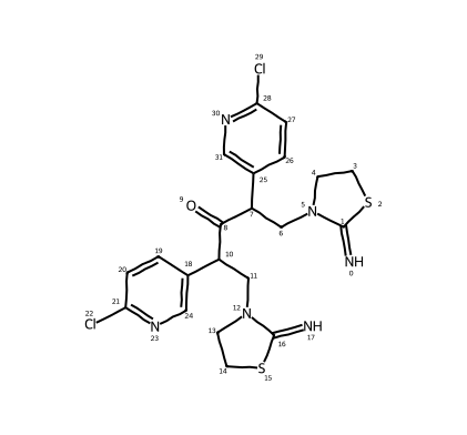 N=C1SCCN1CC(C(=O)C(CN1CCSC1=N)c1ccc(Cl)nc1)c1ccc(Cl)nc1